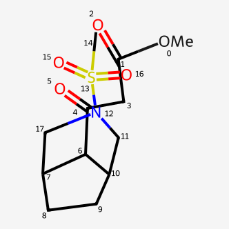 COC(=O)CC(=O)C1C2CCC1CN(S(C)(=O)=O)C2